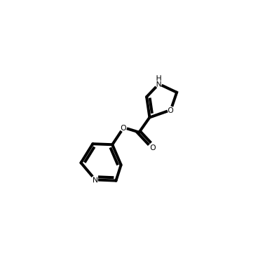 O=C(Oc1ccncc1)C1=CNCO1